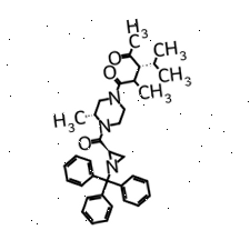 CC(=O)[C@H](C(C)C)C(C)C(=O)N1CCN(C(=O)[C@H]2CN2C(c2ccccc2)(c2ccccc2)c2ccccc2)[C@H](C)C1